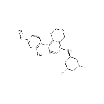 CN1C[C@H](F)C[C@@H](Nc2nnc(-c3ccc(OC(F)(F)F)cc3O)c3c2COCC3)C1